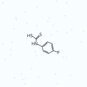 Fc1ccc(NC(=S)S)cc1